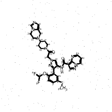 CSc1ccc(OC(F)F)c(-c2nn(CC(=O)N3CCC(N4CCn5cncc5C4)CC3)cc2NC(=O)c2cnn3cccnc23)c1